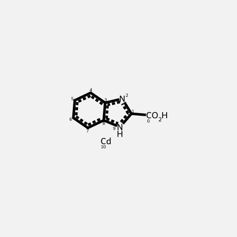 O=C(O)c1nc2ccccc2[nH]1.[Cd]